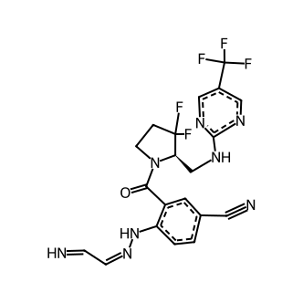 N#Cc1ccc(N/N=C\C=N)c(C(=O)N2CCC(F)(F)[C@H]2CNc2ncc(C(F)(F)F)cn2)c1